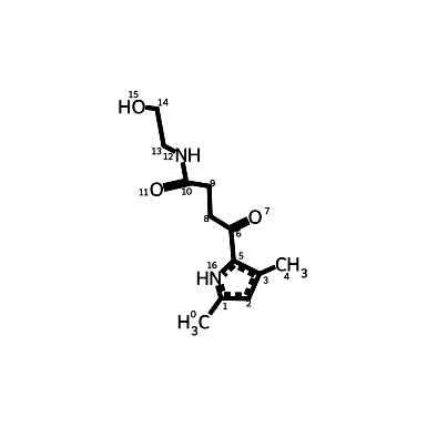 Cc1cc(C)c(C(=O)CCC(=O)NCCO)[nH]1